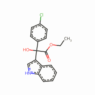 CCOC(=O)C(O)(c1ccc(Cl)cc1)c1c[nH]c2ccccc12